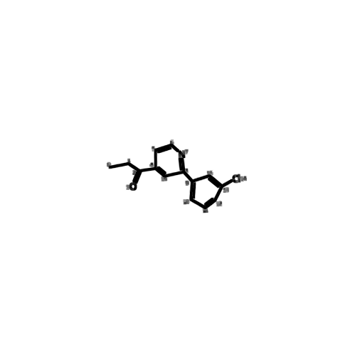 CCC(=O)c1ccnc(-c2cccc(Cl)c2)c1